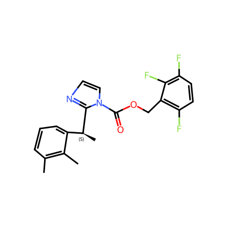 Cc1cccc([C@H](C)c2nccn2C(=O)OCc2c(F)ccc(F)c2F)c1C